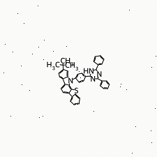 CC(C)(C)c1ccc2c3ccc4c5ccccc5sc4c3n(-c3ccc(C4=NC(c5ccccc5)=NC(c5ccccc5)N4)cc3)c2c1